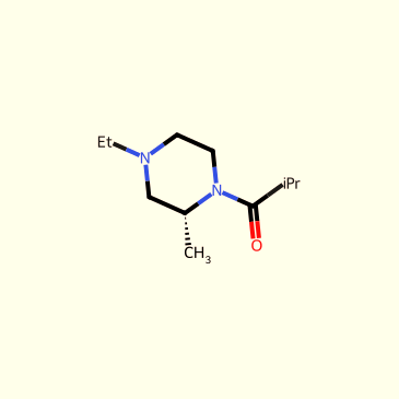 CCN1CCN(C(=O)C(C)C)[C@H](C)C1